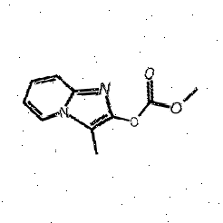 COC(=O)Oc1nc2ccccn2c1C